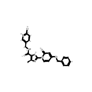 Cc1nc(-n2ccc(OCc3ccccc3)cc2=O)sc1C(=O)NCc1ccc(Cl)nc1